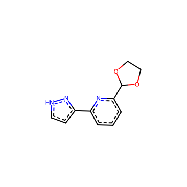 c1cc(-c2cc[nH]n2)nc(C2OCCO2)c1